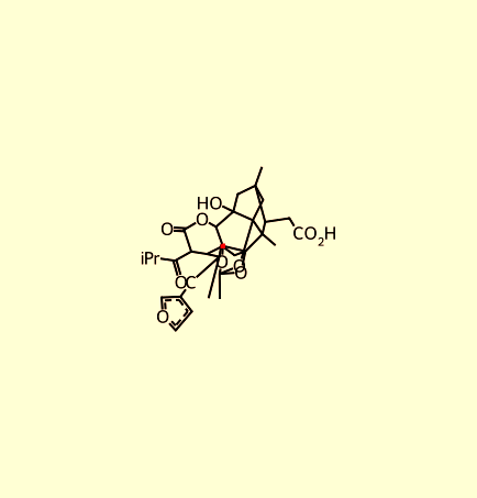 CC(C)C(=O)C1C(=O)OC2C3(O)CC4(C)CC35OC3(C)OC26C1C(C)(Cc1ccoc1)CCC6(O3)C5(C)C4CC(=O)O